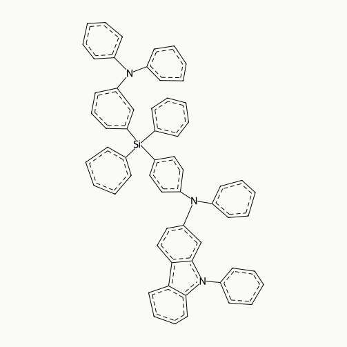 c1ccc(N(c2ccccc2)c2cccc([Si](c3ccccc3)(c3ccccc3)c3ccc(N(c4ccccc4)c4ccc5c6ccccc6n(-c6ccccc6)c5c4)cc3)c2)cc1